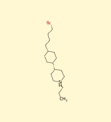 CCC[SiH]1CCC(C2CCC(CCCCBr)CC2)CC1